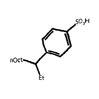 CCCCCCCCC(CC)c1ccc(S(=O)(=O)O)cc1